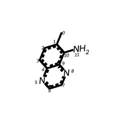 Cc1ccc2nccnc2c1N